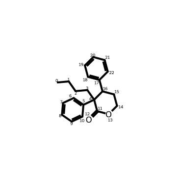 CCCCC1(c2ccccc2)C(=O)OCCC1c1ccccc1